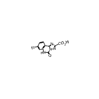 CCc1ccc2c(c1)[nH]c(=O)n1nc(C(=O)O)nc21